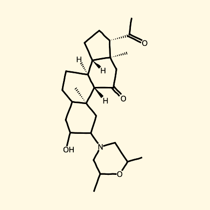 CC(=O)[C@H]1CC[C@H]2[C@@H]3CCC4CC(O)C(N5CC(C)OC(C)C5)C[C@]4(C)[C@H]3C(=O)C[C@]12C